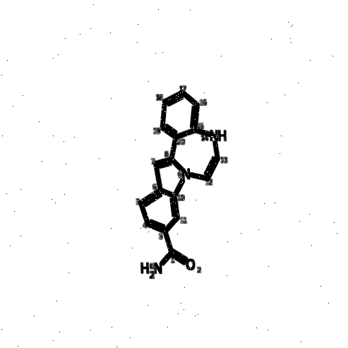 NC(=O)c1ccc2cc3n(c2c1)C=CNc1ccccc1-3